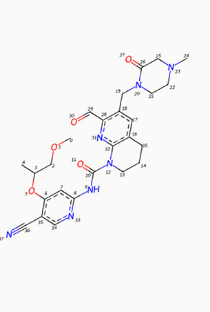 COCC(C)Oc1cc(NC(=O)N2CCCc3cc(CN4CCN(C)CC4=O)c(C=O)nc32)ncc1C#N